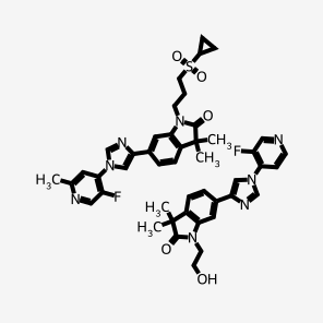 CC1(C)C(=O)N(CCO)c2cc(-c3cn(-c4ccncc4F)cn3)ccc21.Cc1cc(-n2cnc(-c3ccc4c(c3)N(CCCS(=O)(=O)C3CC3)C(=O)C4(C)C)c2)c(F)cn1